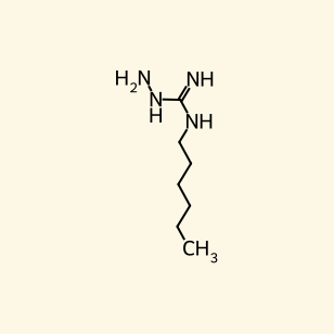 CCCCCCNC(=N)NN